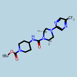 C[C@@H]1CN(c2cnc(C(F)(F)F)cn2)C[C@H](C)N1C(=O)NC1CCN(C(=O)OC(C)(C)C)CC1